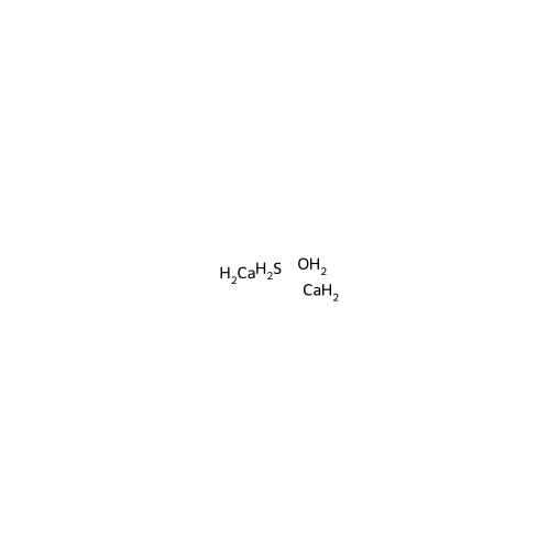 O.S.[CaH2].[CaH2]